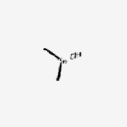 Cl.[CH3][Sn][CH3]